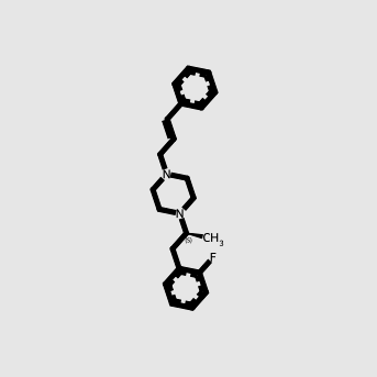 C[C@@H](Cc1ccccc1F)N1CCN(CC=Cc2ccccc2)CC1